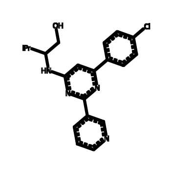 CC(C)C(CO)Nc1cc(-c2ccc(Cl)cc2)nc(-c2cccnc2)n1